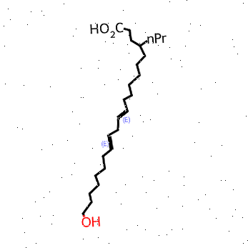 CCCC(CCCCCC/C=C/C/C=C/CCCCCCCO)CCC(=O)O